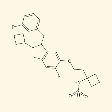 O=[SH](=O)NC1(CCOc2cc3c(cc2F)CC(N2CCC2)C3Cc2cccc(F)c2)CCC1